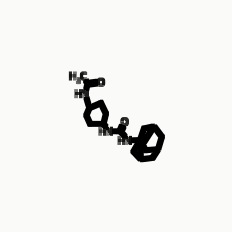 CC(=O)NC1CCC(NC(=O)NC23CC4CC(CC(C4)C2)C3)CC1